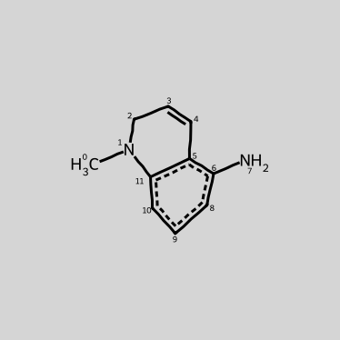 CN1CC=Cc2c(N)cccc21